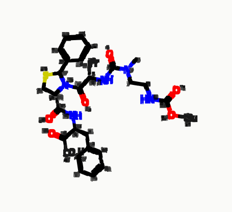 CC(C)[C@H](NC(=O)N(C)CCNC(=O)OC(C)(C)C)C(=O)N1C(c2ccccc2)SC[C@H]1C(=O)N[C@@H](Cc1ccccc1)C(=O)C(=O)O